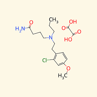 CCCN(CCCC(N)=O)CCc1ccc(OC)cc1Cl.O=C(O)C(=O)O